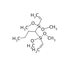 C=C[Si](OC)(OC)C(CCC)[Si](C=C)(OC)OC